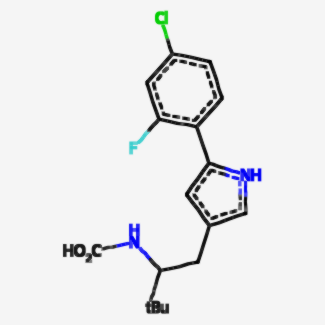 CC(C)(C)C(Cc1c[nH]c(-c2ccc(Cl)cc2F)c1)NC(=O)O